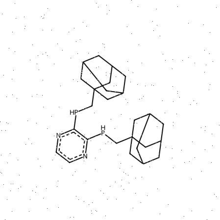 c1cnc(PCC23CC4CC(CC(C4)C2)C3)c(PCC23CC4CC(CC(C4)C2)C3)n1